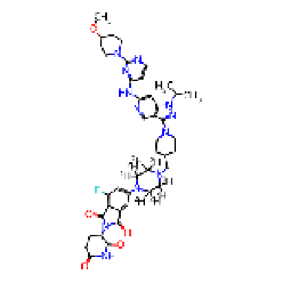 [2H]C1([2H])N(CC2CCN(c3nn(C(C)C)c4cc(Nc5ccnc(N6CCC(OC)CC6)n5)ncc34)CC2)C([2H])([2H])C([2H])([2H])N(c2cc(F)c3c(c2)C(=O)N(C2CCC(=O)NC2=O)C3=O)C1([2H])[2H]